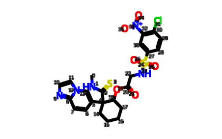 CNC(=S)C1(c2ccc3nccn3c2)CCCCC1OC(=O)CNS(=O)(=O)c1ccc(Cl)c([N+](=O)[O-])c1